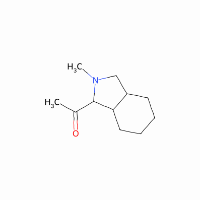 CC(=O)C1C2CCCCC2CN1C